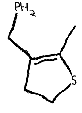 CC1=C(CP)CCS1